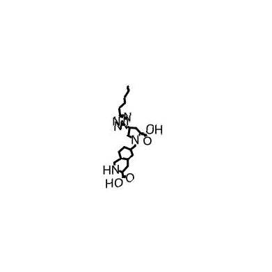 CCCCCc1nnn(C2CC(C(=O)O)N(CC3CCC4CNC(C(=O)O)CC4C3)C2)n1